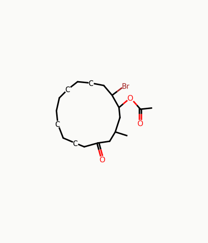 CC(=O)OC1CC(C)CC(=O)CCCCCCCCCCC1Br